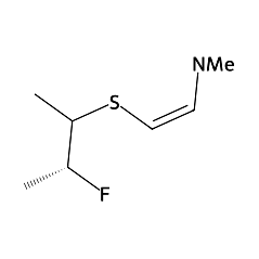 CN/C=C\SC(C)[C@@H](C)F